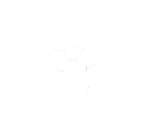 CCOC(=O)c1cnn(C)c1C(C)C